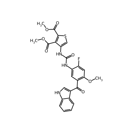 COC(=O)c1scc(NC(=O)Nc2cc(C(=O)c3c[nH]c4ccccc34)c(OC)cc2F)c1C(=O)OC